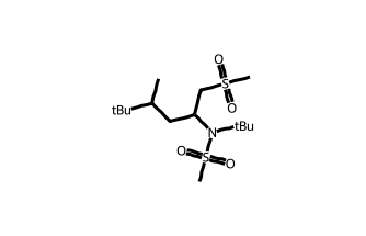 CC(CC(CS(C)(=O)=O)N(C(C)(C)C)S(C)(=O)=O)C(C)(C)C